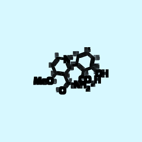 COc1ccncc1C(N)=O.O=C(O)c1ccccc1O